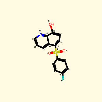 O=S(=O)(c1ccc(F)cc1)c1ccc(O)c2ncccc12